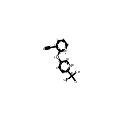 C#Cc1cccnc1Oc1ccc(C(C)(F)F)nc1